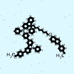 C=Cc1ccc(-c2ccc3cc(OCCCCCCCCC4(c5ccccc5)c5ccccc5-c5ccc(N(c6ccccc6)c6ccc(-c7ccc8c(c7)c7cc(-c9ccc(C=C)cc9)ccc7n8-c7ccccc7)cc6)cc54)ccc3c2)cc1